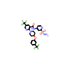 NS(=O)(=O)c1cc(NC(=O)c2cc(C(F)(F)F)cnc2N2CCC(Oc3cccc(C(F)(F)F)c3)CC2)ccn1